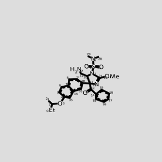 CCC(I)Oc1ccc2ccc(C3(C(=O)c4ccccc4)N=C(OC)N(S(=O)(=O)N(C)C)C3CN)cc2c1